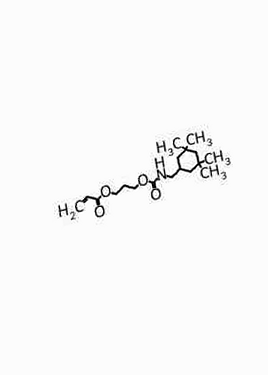 C=CC(=O)OCCCOC(=O)NCC1CC(C)(C)CC(C)(C)C1